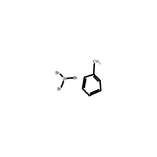 Cc1cc[c]cc1.[Br][Al]([Br])[Br]